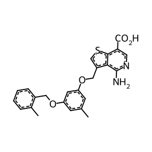 Cc1cc(OCc2ccccc2C)cc(OCc2csc3c(C(=O)O)cnc(N)c23)c1